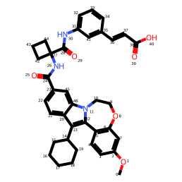 COc1ccc2c(c1)OCCn1c-2c(C2CCCCC2)c2ccc(C(=O)NC3(C(=O)Nc4cccc(/C=C/C(=O)O)c4)CCC3)cc21